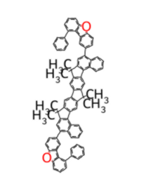 CC1(C)c2cc3c(cc2-c2cc4c(cc21)-c1c(cc(-c2ccc5oc6cccc(-c7ccccc7)c6c5c2)c2ccccc12)C4(C)C)C(C)(C)c1cc(-c2ccc4oc5cccc(-c6ccccc6)c5c4c2)c2ccccc2c1-3